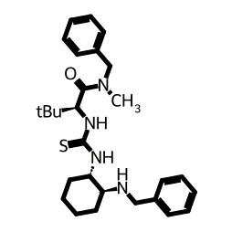 CN(Cc1ccccc1)C(=O)[C@@H](NC(=S)N[C@H]1CCCC[C@@H]1NCc1ccccc1)C(C)(C)C